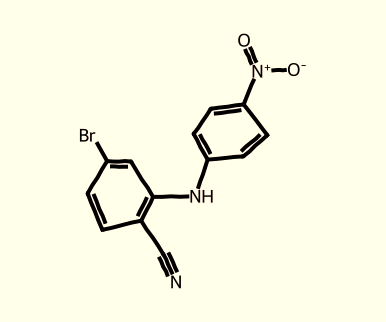 N#Cc1ccc(Br)cc1Nc1ccc([N+](=O)[O-])cc1